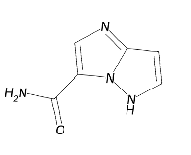 NC(=O)c1cnc2cc[nH]n12